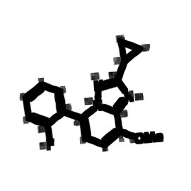 COc1ccc(-c2ccccc2F)n2nc(C3CC3)nc12